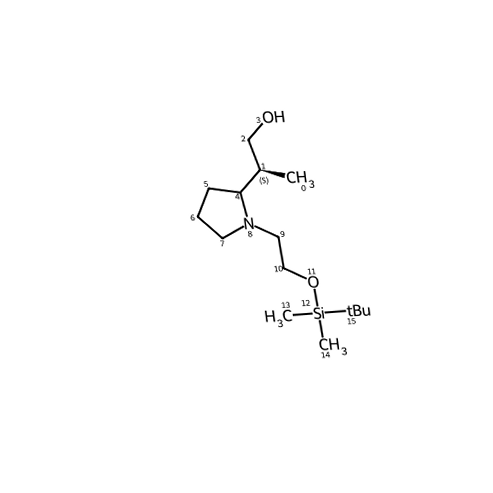 C[C@H](CO)C1CCCN1CCO[Si](C)(C)C(C)(C)C